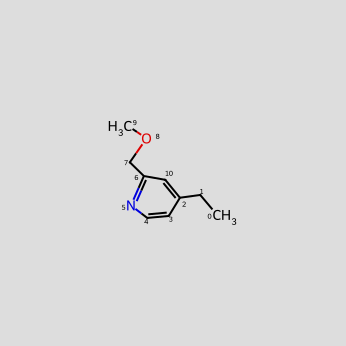 CCc1ccnc(COC)c1